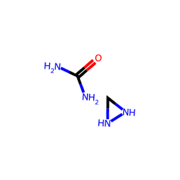 C1NN1.NC(N)=O